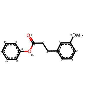 COc1cccc(CCC(=O)Oc2ccccc2)c1